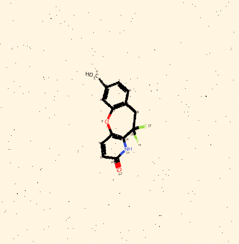 O=C(O)c1ccc2c(c1)Oc1ccc(=O)[nH]c1C(F)(F)C2